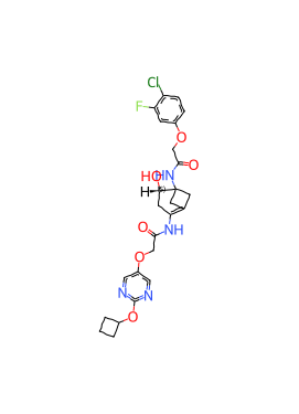 O=C(COc1cnc(OC2CCC2)nc1)NC1=C2CC(NC(=O)COc3ccc(Cl)c(F)c3)(C2)[C@@H](O)C1